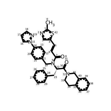 Cc1ncc(/C=C/C(=O)N(Cc2ccc(-n3cccn3)cc2)[C@@H](Cc2ccccc2)C(=O)N2CCc3ccccc3C2)s1